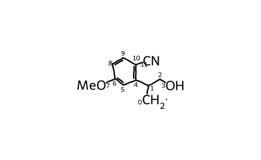 [CH2]C(CO)c1cc(OC)ccc1C#N